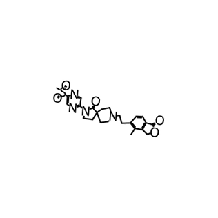 Cc1c(CCN2CCC3(CC2)CCN(c2cnc(S(C)(=O)=O)cn2)C3=O)ccc2c1COC2=O